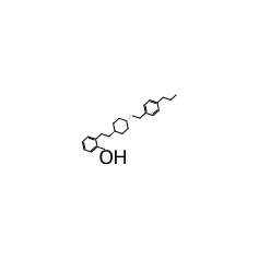 CCCc1ccc(CC[C@H]2CC[C@H](CCc3ccccc3CO)CC2)cc1